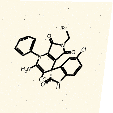 CCOC(=O)C1=C(N)N(c2ccccc2)C2=C(C(=O)N(CC(C)C)C2=O)[C@]12C(=O)Nc1ccc(Cl)cc12